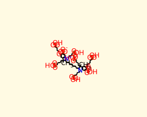 CC1(CCCCS(=O)(=O)O)C(/C=C/C=C/C=C/C=C2/N(CCCCS(=O)(=O)O)c3cc(S(=O)(=O)O)c(OCCCCS(=O)(=O)O)cc3C2(C)CCCCS(=O)(=O)O)=[N+](CCCCS(=O)(=O)O)c2cc(S(=O)(=O)[O-])c(OCCCCS(=O)(=O)O)cc21